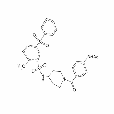 CC(=O)Nc1ccc(C(=O)N2CCC(NS(=O)(=O)c3cc(S(=O)(=O)c4ccccc4)ccc3C)CC2)cc1